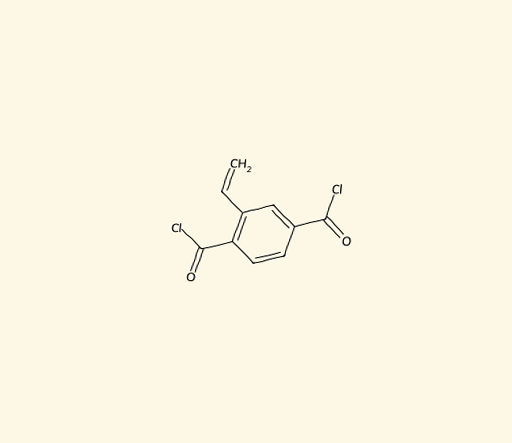 C=Cc1cc(C(=O)Cl)ccc1C(=O)Cl